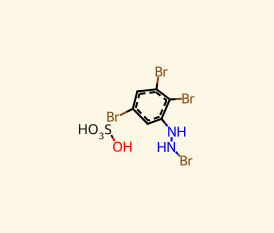 BrNNc1cc(Br)cc(Br)c1Br.O=S(=O)(O)O